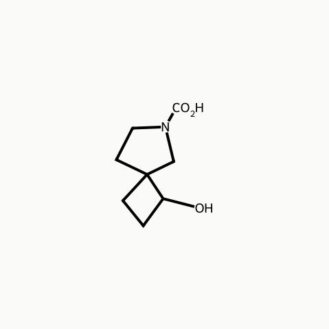 O=C(O)N1CCC2(CCC2O)C1